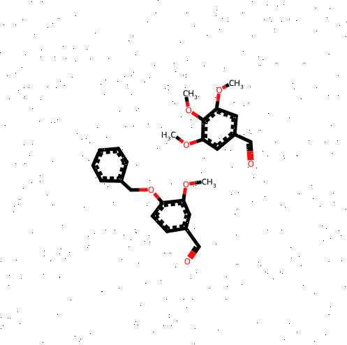 COc1cc(C=O)cc(OC)c1OC.COc1cc(C=O)ccc1OCc1ccccc1